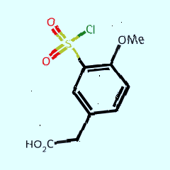 COc1ccc(CC(=O)O)cc1S(=O)(=O)Cl